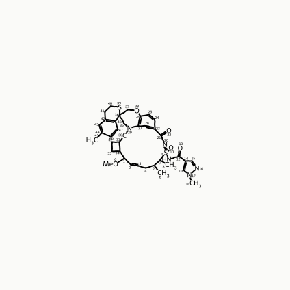 COC1/C=C/CC(C)C(C)S(=O)(NC(=O)c2cnn(C)c2)=NC(=O)c2ccc3c(c2)N(CC2CCC21)CC1(CO3)SCCc2cc(C)ccc21